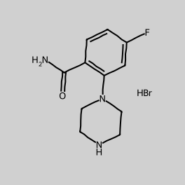 Br.NC(=O)c1ccc(F)cc1N1CCNCC1